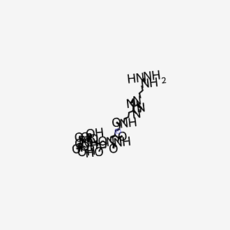 N=C(N)NCCCCn1cnc2c(CCCNC(=O)/C=C/c3cn(C4CC(O)C(COP(=O)(O)OP(=O)(O)OP(=O)(O)O)O4)c(=O)[nH]c3=O)ncnc21